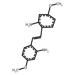 COc1ccc(/C=C/c2ccc(OC)cc2N)c(N)c1